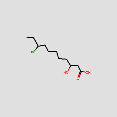 CCC(Br)CCCCCC(O)CC(=O)O